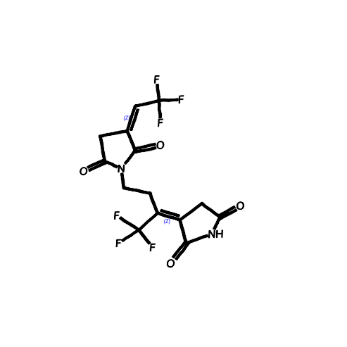 O=C1C/C(=C(\CCN2C(=O)C/C(=C/C(F)(F)F)C2=O)C(F)(F)F)C(=O)N1